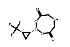 O=C1CNCC(=O)OB([C@@H]2C[C@H]2C(F)(F)F)O1